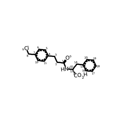 O=C(CCc1ccc(CCl)cc1)N[C@@H](Cc1ccccc1)C(=O)O